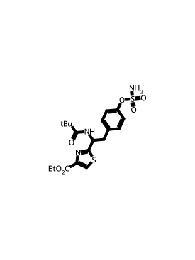 CCOC(=O)c1csc(C(Cc2ccc(OS(N)(=O)=O)cc2)NC(=O)C(C)(C)C)n1